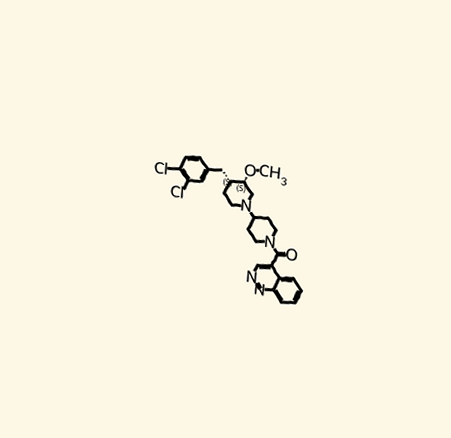 CO[C@@H]1CN(C2CCN(C(=O)c3cnnc4ccccc34)CC2)CC[C@@H]1Cc1ccc(Cl)c(Cl)c1